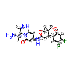 CC(=N)/C(=C(/C)N)n1ccc(NC(=O)CC2c3cc(F)c(F)cc3OCC23CC3)cc1=O